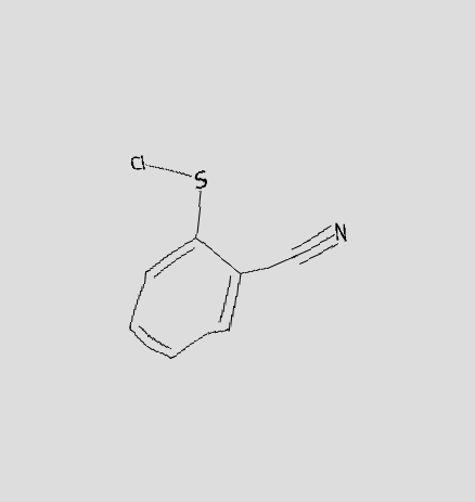 N#Cc1ccccc1SCl